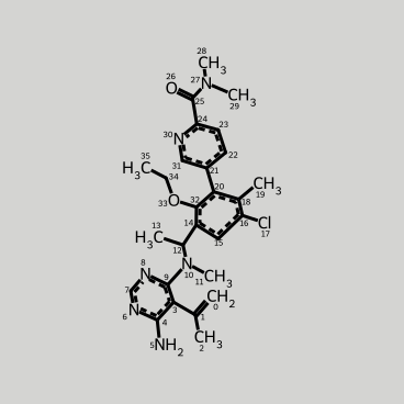 C=C(C)c1c(N)ncnc1N(C)C(C)c1cc(Cl)c(C)c(-c2ccc(C(=O)N(C)C)nc2)c1OCC